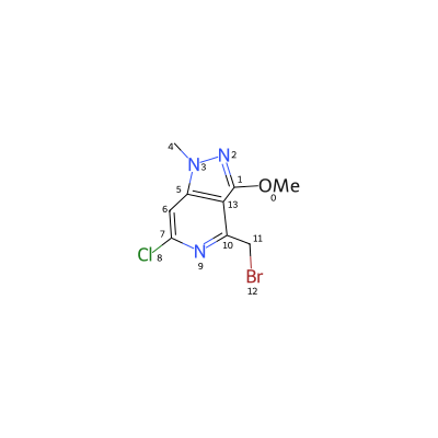 COc1nn(C)c2cc(Cl)nc(CBr)c12